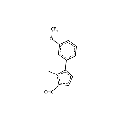 Cn1c(C=O)ccc1-c1cccc(OC(F)(F)F)c1